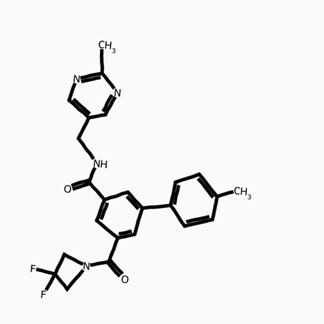 Cc1ccc(-c2cc(C(=O)NCc3cnc(C)nc3)cc(C(=O)N3CC(F)(F)C3)c2)cc1